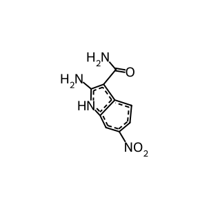 NC(=O)c1c(N)[nH]c2cc([N+](=O)[O-])ccc12